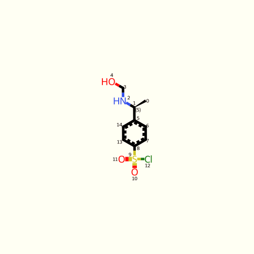 C[C@H](NCO)c1ccc(S(=O)(=O)Cl)cc1